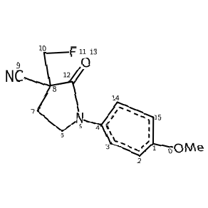 COc1ccc(N2CCC(C#N)(CF)C2=O)cc1